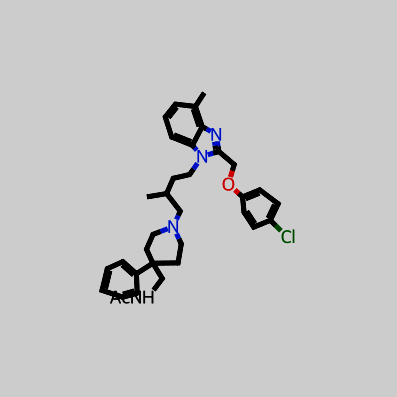 CC(=O)NCC1(c2ccccc2)CCN(CC(C)CCn2c(COc3ccc(Cl)cc3)nc3c(C)cccc32)CC1